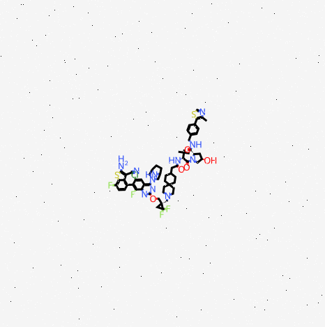 Cc1ncsc1-c1ccc(CNC(=O)[C@@H]2C[C@@H](O)CN2C(=O)[C@@H](NC(=O)CC2CCC3(CC2)CCN(C[C@@]2(COc4nc(N5CC6CCC(C5)N6)c5cc(Cl)c(-c6ccc(F)c7sc(N)c(C#N)c67)c(F)c5n4)CC2(F)F)CC3)C(C)(C)C)cc1